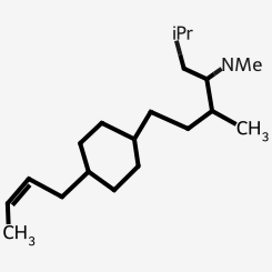 C/C=C\CC1CCC(CCC(C)C(CC(C)C)NC)CC1